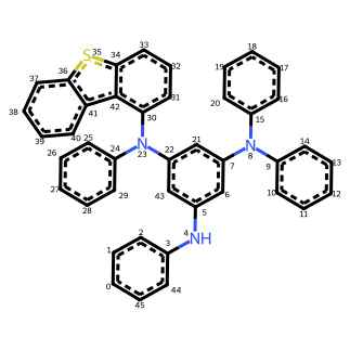 c1ccc(Nc2cc(N(c3ccccc3)c3ccccc3)cc(N(c3ccccc3)c3cccc4sc5ccccc5c34)c2)cc1